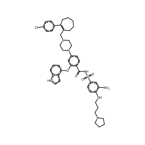 O=C(NS(=O)(=O)c1ccc(NCCCN2CCCC2)c([N+](=O)[O-])c1)c1ccc(N2CCN(CC3=C(c4ccc(Cl)cc4)CCCCC3)CC2)cc1Oc1cccc2[nH]ccc12